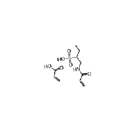 C=CC(=O)NCC(CC)S(=O)(=O)O.C=CC(=O)O